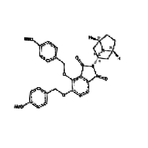 COc1ccc(COc2ccc3c(c2OCc2ccc(OC)cc2)C(=O)N([C@H]2C[C@H]4CC[C@@H](C2)N4C)C3=O)cc1